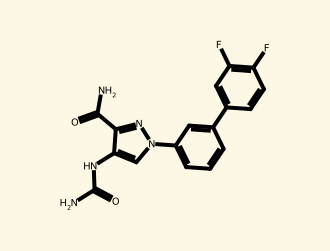 NC(=O)Nc1cn(-c2cccc(-c3ccc(F)c(F)c3)c2)nc1C(N)=O